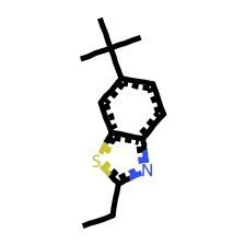 CCc1nc2ccc(C(C)(C)C)cc2s1